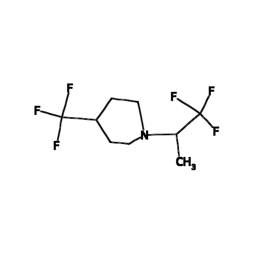 CC(N1CCC(C(F)(F)F)CC1)C(F)(F)F